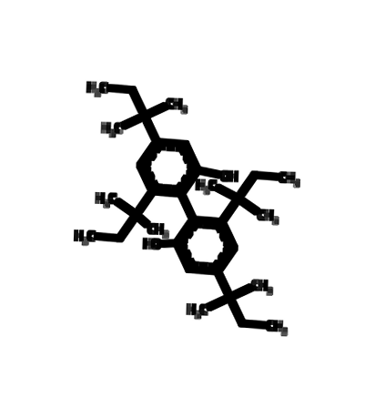 CCC(C)(C)c1cc(O)c(-c2c(O)cc(C(C)(C)CC)cc2C(C)(C)CC)c(C(C)(C)CC)c1